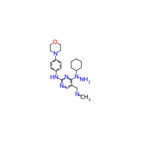 C=NCc1cnc(Nc2ccc(N3CCOCC3)cc2)nc1N(N)C1CCCCC1